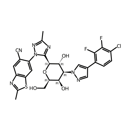 Cc1nc([C@@H]2O[C@H](CO)[C@H](O)[C@H](n3cc(-c4ccc(Cl)c(F)c4F)cn3)[C@H]2O)n(-c2cc3sc(C)nc3cc2C#N)n1